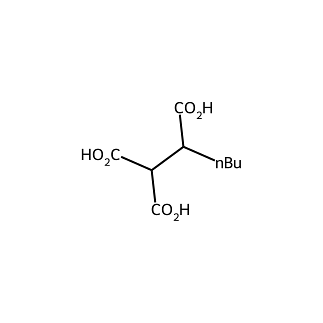 CCCCC(C(=O)O)C(C(=O)O)C(=O)O